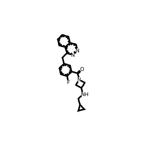 O=C(c1cc(Cc2nncc3ccccc23)ccc1F)N1CC(NCC2CC2)C1